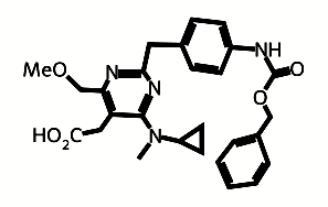 COCc1nc(Cc2ccc(NC(=O)OCc3ccccc3)cc2)nc(N(C)C2CC2)c1CC(=O)O